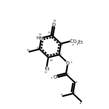 CCOC(=O)c1c(OC(=O)C=C(C)C)c(CC)c(C)[nH]c1=O